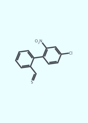 O=[N+]([O-])c1cc(Cl)ccc1-c1ccccc1C=S